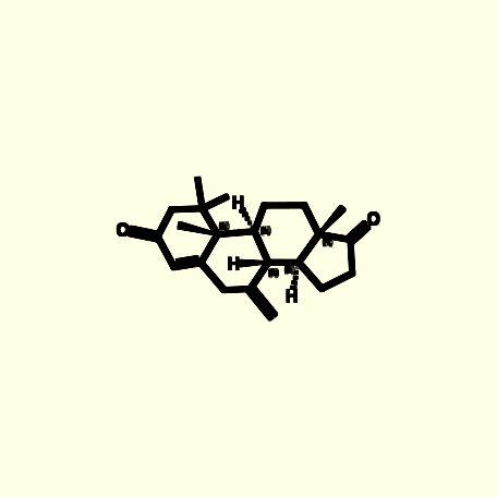 C=C1CC2=CC(=O)CC(C)(C)[C@]2(C)[C@H]2CC[C@]3(C)C(=O)CC[C@H]3[C@H]12